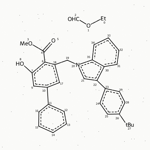 CCOC=O.COC(=O)c1c(O)cc(-c2ccccc2)cc1Cn1cc(-c2ccc(C(C)(C)C)cc2)c2ccccc21